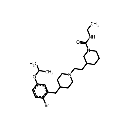 CCNC(=O)N1CCCC(CCN2CCC(Cc3cc(OC(C)C)ccc3Br)CC2)C1